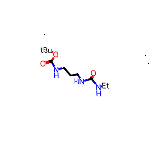 CCNC(=O)NCCCNC(=O)OC(C)(C)C